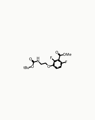 COC(=O)c1c(F)ccc(OCCNC(=O)OC(C)(C)C)c1F